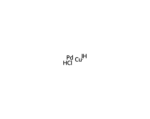 Cl.I.[Cu].[Pd]